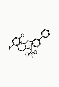 CS(=O)(=O)NC1CCc2c(F)ccc(=O)n2C1Cc1cccc(-c2ccccc2)c1